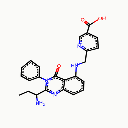 CCC(N)c1nc2cccc(NCc3ccc(C(=O)O)cn3)c2c(=O)n1-c1ccccc1